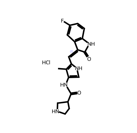 Cc1c(NC(=O)C2CCNC2)c[nH]c1/C=C1\C(=O)Nc2ccc(F)cc21.Cl